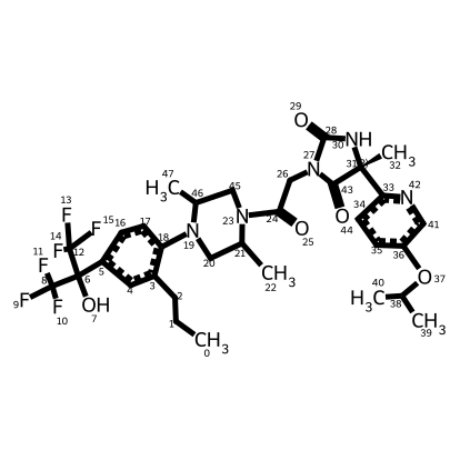 CCCc1cc(C(O)(C(F)(F)F)C(F)(F)F)ccc1N1CC(C)N(C(=O)CN2C(=O)N[C@](C)(c3ccc(OC(C)C)cn3)C2=O)CC1C